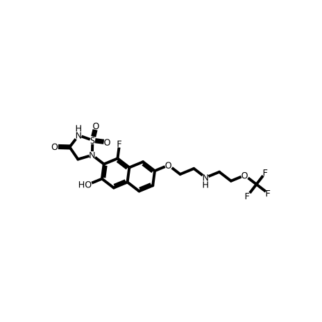 O=C1CN(c2c(O)cc3ccc(OCCNCCOC(F)(F)F)cc3c2F)S(=O)(=O)N1